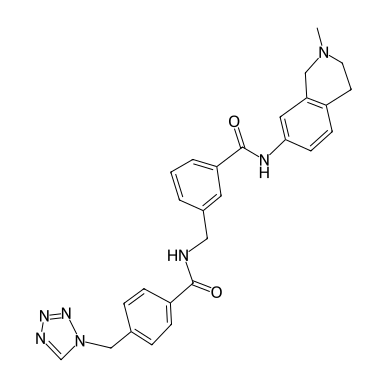 CN1CCc2ccc(NC(=O)c3cccc(CNC(=O)c4ccc(Cn5cnnn5)cc4)c3)cc2C1